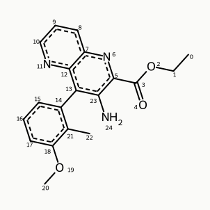 CCOC(=O)c1nc2cccnc2c(-c2cccc(OC)c2C)c1N